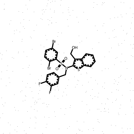 O=S(=O)(c1cc(Br)ccc1Br)N(Cc1ccc(F)c(F)c1)c1sc2ccccc2c1CO